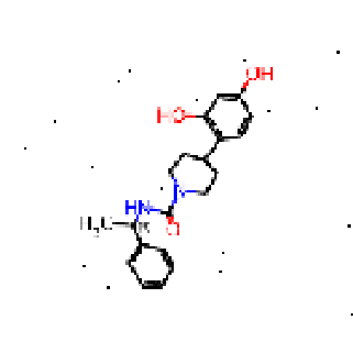 C[C@@H](NC(=O)N1CCC(c2ccc(O)cc2O)CC1)c1ccccc1